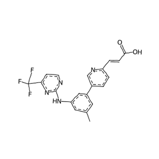 Cc1cc(Nc2nccc(C(F)(F)F)n2)cc(-c2ccc(C=CC(=O)O)nc2)c1